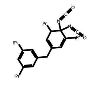 CC(C)C1=CC(Cc2cc(C(C)C)cc(C(C)C)c2)=CC(C(C)C)C1(N=C=O)N=C=O